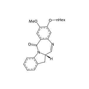 CCCCCCOc1cc2c(cc1OC)C(=O)N1c3ccccc3C[C@H]1C=N2